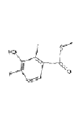 CSC(=O)c1ccc(F)c(O)c1C